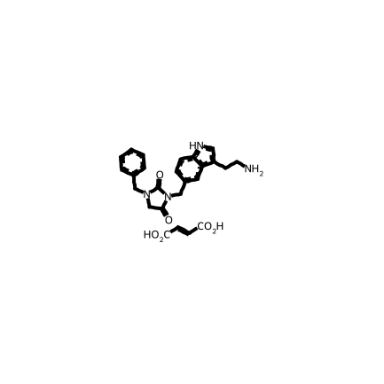 NCCc1c[nH]c2ccc(CN3C(=O)CN(Cc4ccccc4)C3=O)cc12.O=C(O)C=CC(=O)O